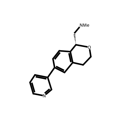 CNC[C@@H]1OCCc2cc(-c3cccnc3)ccc21